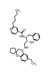 CCCCCc1cc(C(=O)N[C@@H](Cc2ccccc2)[C@H](O)CN[C@H]2CC3(CCCC3)Oc3ccc(CC)cc32)ccn1